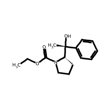 CCOC(=O)N1CCC[C@H]1[C@](C)(O)c1ccccc1